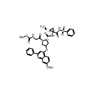 C=C[C@@H]1C[C@]1(NC(=O)[C@@H]1CC(Oc2cc(-c3ccccc3)nc3cc(OC)ccc23)CN1C(=O)CNC(=O)OC(C)(C)C)C(=O)NS(=O)(=O)c1ccccc1